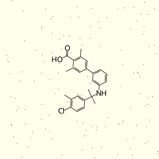 Cc1cc(C(C)(C)Nc2cccc(-c3cc(C)c(C(=O)O)c(C)c3)c2)ccc1Cl